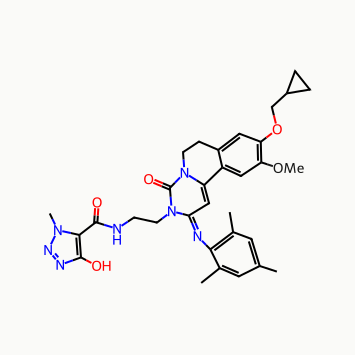 COc1cc2c(cc1OCC1CC1)CCn1c-2cc(=Nc2c(C)cc(C)cc2C)n(CCNC(=O)c2c(O)nnn2C)c1=O